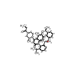 C=CC(=O)N1C[C@H](C)N(c2nc(=O)n(-c3c(C(C)C)ccnc3C(C)C)c3nc(-c4c(F)cccc4C=C)c(Cl)cc23)[C@@H](C)C1